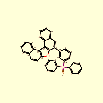 S=P(c1ccccc1)(c1ccccc1)c1cccc(-c2cc3ccccc3c3c2oc2ccc4ccccc4c23)c1